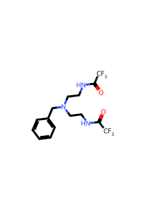 O=C(NCCN(CCNC(=O)C(F)(F)F)Cc1ccccc1)C(F)(F)F